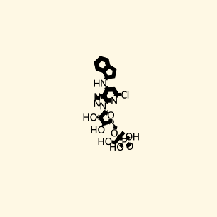 CC(CO)(OC[C@H]1O[C@@H](n2nnc3c(NC4CCc5ccccc54)cc(Cl)nc32)[C@H](O)[C@@H]1O)P(=O)(O)O